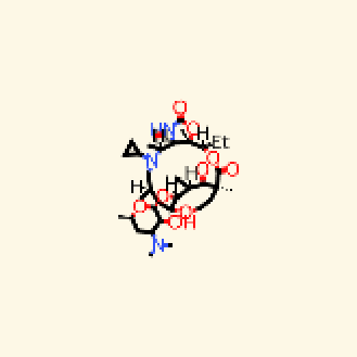 CC[C@H]1OC(=O)[C@@]2(C)CCO[C@@](C)(C[C@@H](C)CN(C3CC3)[C@H](C)[C@H]3NC(=O)O[C@@]31C)[C@H](O[C@@H]1O[C@H](C)CC(N(C)C)C1O)[C@@H](C)C2=O